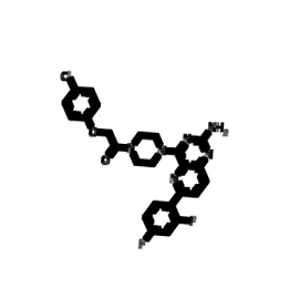 Nc1nc(N2CCN(C(=O)COc3ccc(Cl)cc3)CC2)c2nc(-c3ccc(F)cc3F)ccc2n1